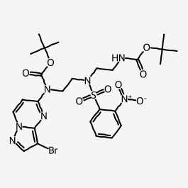 CC(C)(C)OC(=O)NCCN(CCN(C(=O)OC(C)(C)C)c1ccn2ncc(Br)c2n1)S(=O)(=O)c1ccccc1[N+](=O)[O-]